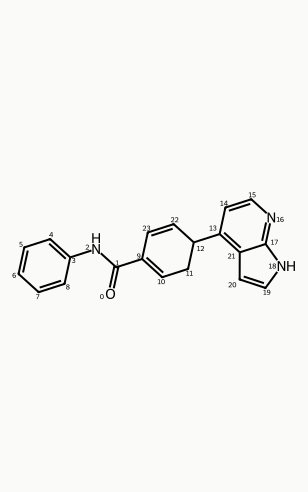 O=C(Nc1ccccc1)C1=CCC(c2ccnc3[nH]ccc23)C=C1